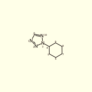 [c]1nnn(C2CCCCC2)n1